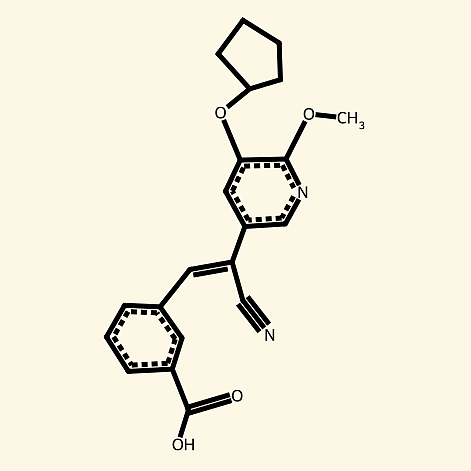 COc1ncc(C(C#N)=Cc2cccc(C(=O)O)c2)cc1OC1CCCC1